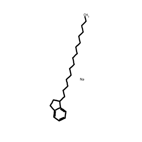 CCCCCCCCCCCCCCCCC1CCc2ccccc21.[Na]